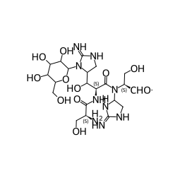 N=C1NCC(N(C(=O)[C@@H](NC(=O)[C@@H](N)CO)C(O)C2CNC(=N)N2C2OC(CO)C(O)C(O)C2O)[C@H]([C]=O)CO)N1